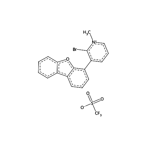 C[n+]1cccc(-c2cccc3c2oc2ccccc23)c1Br.O=S(=O)([O-])C(F)(F)F